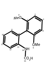 COc1cccc(OC)c1-c1ccccc1NC(=O)O